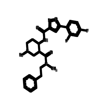 CCN1CCC(NC(=O)c2cc(-c3ccc(F)cc3F)on2)C(C(=O)N(C)CCc2ccccc2)C1